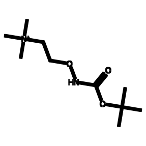 CC(C)(C)OC(=O)NOCC[N+](C)(C)C